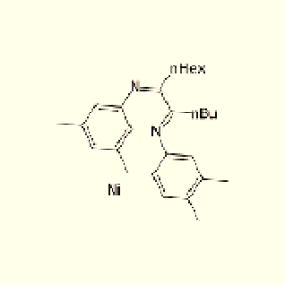 CCCCCCC(=Nc1cc(C)cc(C)c1)C(CCCC)=Nc1ccc(C)c(C)c1.[Ni]